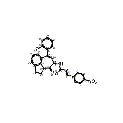 O=C(/C=C/c1ccc([N+](=O)[O-])cc1)NC1N=C(c2ccccc2F)c2cccc3c2N(CC3)C1=O